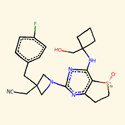 N#CCC1(Cc2ccc(F)cc2)CN(c2nc3c(c(NC4(CO)CCC4)n2)[S@+]([O-])CC3)C1